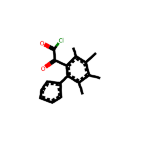 Cc1c(C)c(C)c(-c2ccccc2)c(C(=O)C(=O)Cl)c1C